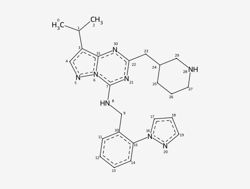 CC(C)c1cnn2c(NCc3ccccc3-n3cccn3)nc(CC3CCCNC3)nc12